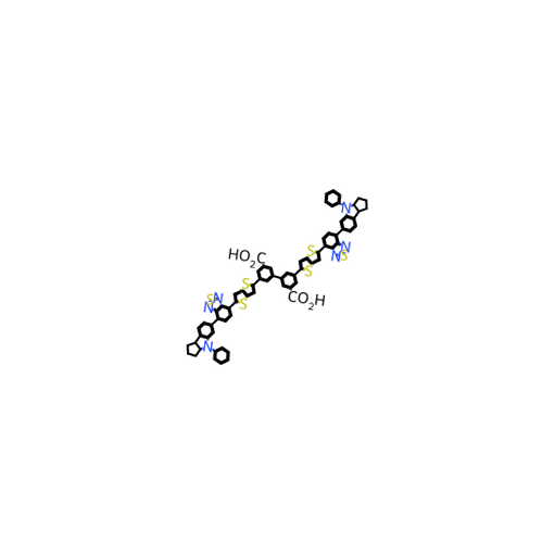 O=C(O)c1cc(-c2cc(C(=O)O)cc(-c3cc4sc(-c5ccc(-c6ccc7c(c6)N(c6ccccc6)C6CCCC76)c6nsnc56)cc4s3)c2)cc(-c2cc3sc(-c4ccc(-c5ccc6c(c5)N(c5ccccc5)C5CCCC65)c5nsnc45)cc3s2)c1